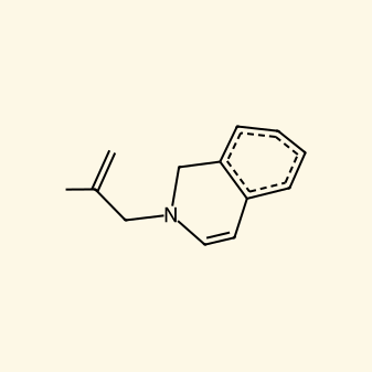 C=C(C)CN1C=Cc2ccccc2C1